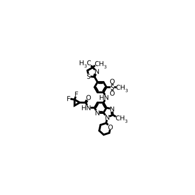 Cc1nc2c(Nc3ccc(C4=NC(C)(C)CS4)cc3S(C)(=O)=O)cc(NC(=O)C3CC3(F)F)nc2n1C1CCCCO1